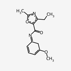 CCc1nc(C)oc1C(=O)N=C1C=CC=C(OC)C1